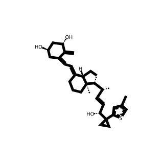 C=C1/C(=C\C=C2/CCC[C@]3(C)[C@@H]([C@H](C)/C=C/[C@@H](O)C4(c5cc(C)cs5)CC4)CC[C@@H]23)C[C@@H](O)C[C@@H]1O